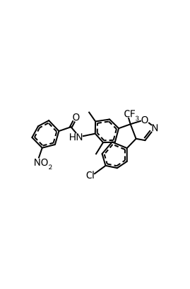 Cc1cc(C2(C(F)(F)F)ON=CC2c2ccc(Cl)cc2)cc(C)c1NC(=O)c1cccc([N+](=O)[O-])c1